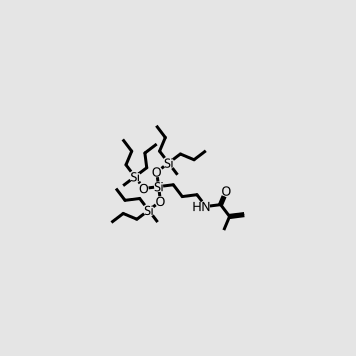 C=C(C)C(=O)NCCC[Si](O[Si](C)(CCC)CCC)(O[Si](C)(CCC)CCC)O[Si](C)(CCC)CCC